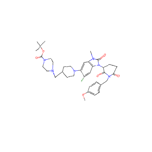 COc1ccc(CN2C(=O)CCC(n3c(=O)n(C)c4cc(N5CCC(CN6CCN(C(=O)OC(C)(C)C)CC6)CC5)c(F)cc43)C2=O)cc1